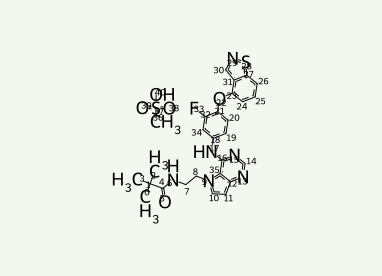 CC(C)(C)C(=O)NCCn1ccc2ncnc(Nc3ccc(Oc4cccc5sncc45)c(F)c3)c21.CS(=O)(=O)O